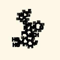 C#Cc1c(F)ccc2cc(B(O)O)cc(-c3ncc4c(N5CCCOCC5)nc(OC[C@@]56CCCN5C[C@H](F)C6)nc4c3F)c12